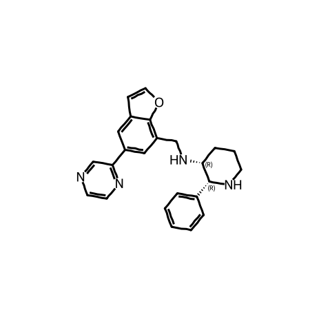 c1ccc([C@H]2NCCC[C@H]2NCc2cc(-c3cnccn3)cc3ccoc23)cc1